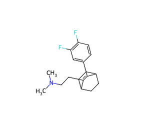 CN(C)CCC1=C(c2ccc(F)c(F)c2)C2CCC1CC2